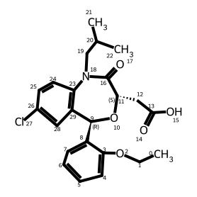 CCOc1ccccc1[C@@H]1O[C@@H](CC(=O)O)C(=O)N(CC(C)C)c2ccc(Cl)cc21